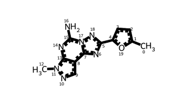 Cc1ccc(-c2nc3c4cnn(C)c4nc(N)n3n2)o1